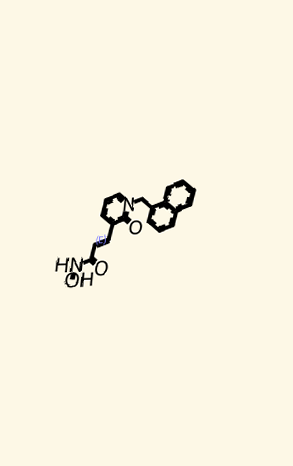 O=C(/C=C/c1cccn(Cc2cccc3ccccc23)c1=O)NO